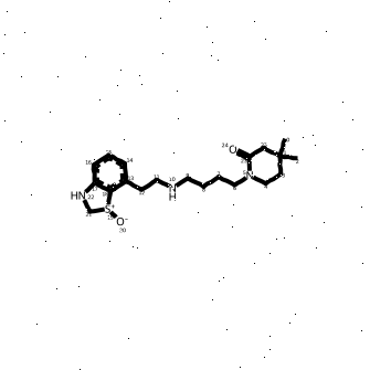 CC1(C)CCN(CCCCNCCc2cccc3c2[S+]([O-])CN3)C(=O)C1